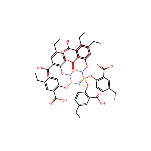 CCc1ccc(ON2P(Oc3ccc(CC)cc3C(=O)O)N=P(Oc3ccc(CC)cc3C(=O)O)(Oc3ccc(CC)cc3C(=O)O)N(Oc3ccc(CC)cc3C(=O)O)P2Oc2ccc(CC)cc2C(=O)O)c(C(=O)O)c1